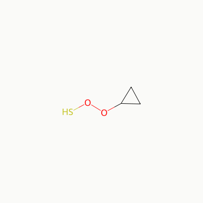 SOOC1CC1